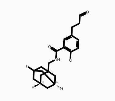 O=CCCc1ccc(Cl)c(C(=O)NCC23C[C@@H]4C[C@@H](CC(F)(C4)C2)C3)c1